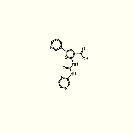 O=C(Nc1cnccn1)Nc1sc(-c2cccnc2)cc1C(=O)O